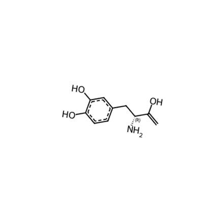 C=C(O)[C@H](N)Cc1ccc(O)c(O)c1